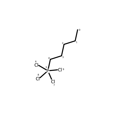 CCCCCP(Cl)(Cl)(Cl)Cl